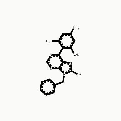 CCc1nc2c(-c3c(C)cc(C)cc3C)ncnc2n1Cc1ccccc1